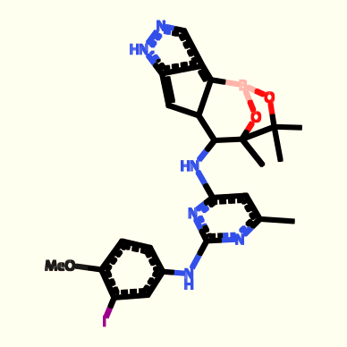 COc1ccc(Nc2nc(C)cc(NC3C4C=c5[nH]ncc5=C4B4OC(C)(C)C3(C)O4)n2)cc1I